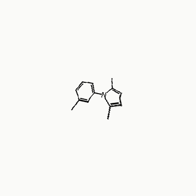 Cc1cccc(-n2c(C)ccc2C)c1